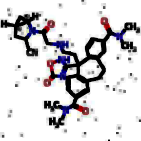 CN(C)C(=O)c1ccc2c(c1)CCc1cc(C(=O)N(C)C)ccc1C2(CCNCC(=O)N1C(C#N)C[C@@H]2C[C@@H]21)c1nc(=O)o[nH]1